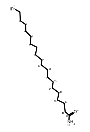 CC(C)CCCCCCCCCCCCCCCCCCC(N)=O